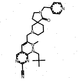 CN1C(CN2CCCC3(CCN(Cc4ccncc4)C3=O)C2)=Cc2cnc(C#N)nc2N1CC(C)(C)C